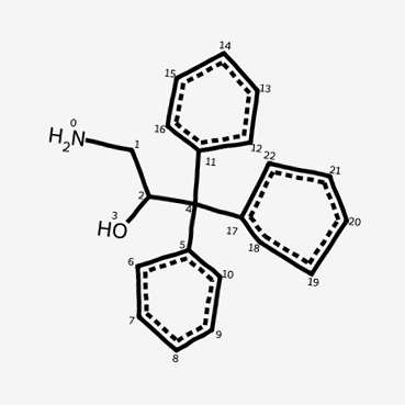 NCC(O)C(c1ccccc1)(c1ccccc1)c1ccccc1